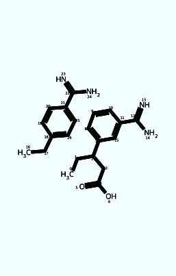 CCC(CC(=O)O)c1cccc(C(=N)N)c1.CCc1ccc(C(=N)N)cc1